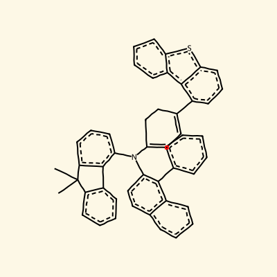 CC1(C)c2ccccc2-c2c(N(C3=CC=C(c4cccc5sc6ccccc6c45)CC3)c3ccc4ccccc4c3-c3ccccc3)cccc21